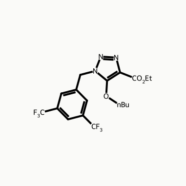 CCCCOc1c(C(=O)OCC)nnn1Cc1cc(C(F)(F)F)cc(C(F)(F)F)c1